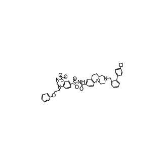 O=C(NS(=O)(=O)c1ccc2c(c1)S(=O)(=O)N=CN2CCOc1ccccc1)c1ccc2c(c1)CCC1CN(Cc3ccccc3-c3ccc(Cl)cc3)CCN21